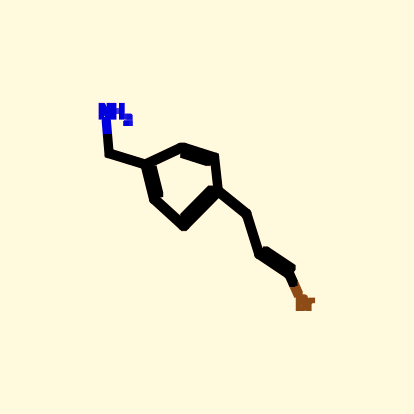 NCc1ccc(C/C=C/Br)cc1